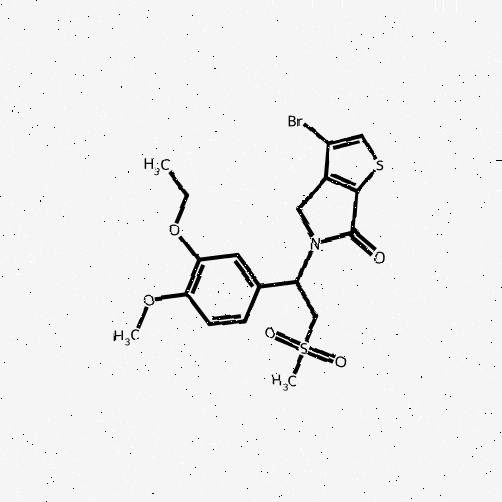 CCOc1cc(C(CS(C)(=O)=O)N2Cc3c(Br)csc3C2=O)ccc1OC